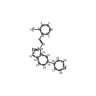 Fc1ccccc1C=Cn1ncc2ccc(-c3ccncc3)cc21